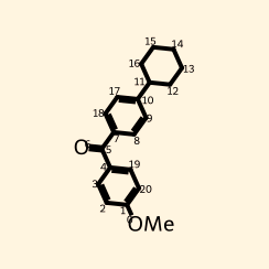 COc1ccc(C(=O)c2ccc(C3CCCCC3)cc2)cc1